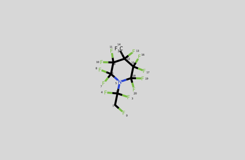 FCC(F)(F)N1C(F)(F)C(F)(F)C(F)(C(F)(F)F)C(F)(F)C1(F)F